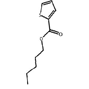 CCCCCOC(=O)c1cccs1